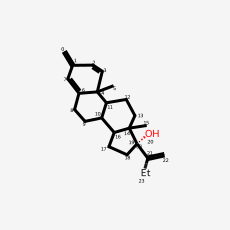 C=C1C=CC2(C)C(=C1)CCC1C2CCC2(C)C1CC[C@]2(O)C(=C)CC